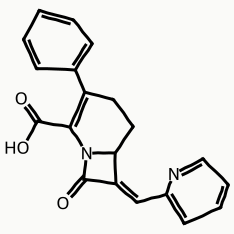 O=C(O)C1=C(c2ccccc2)CCC2/C(=C\c3ccccn3)C(=O)N12